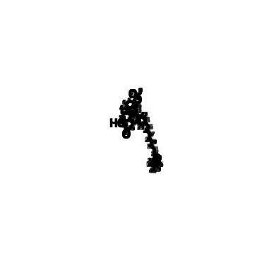 CC(=O)OC1CC[C@H]2[C@@H]3CCC4(O)CC(=O)CCC4=C3C(c3ccc(CCCCCCCCO[Si](C)(C)C(C)(C)C)cc3)C[C@]12C